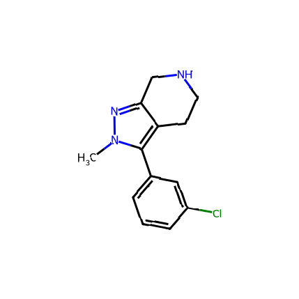 Cn1nc2c(c1-c1cccc(Cl)c1)CCNC2